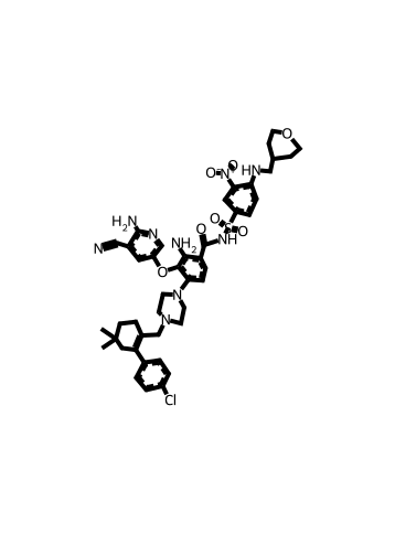 CC1(C)CCC(CN2CCN(c3ccc(C(=O)NS(=O)(=O)c4ccc(NCC5CCOCC5)c([N+](=O)[O-])c4)c(N)c3Oc3cnc(N)c(C#N)c3)CC2)=C(c2ccc(Cl)cc2)C1